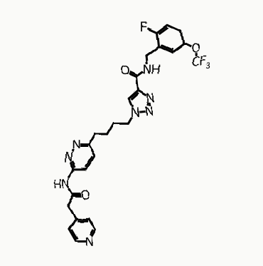 O=C(Cc1ccncc1)Nc1ccc(CCCCn2cc(C(=O)NCC3=CC(OC(F)(F)F)CC=C3F)nn2)nn1